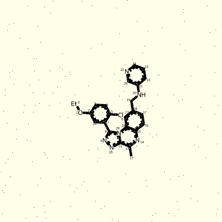 CCOc1ccc(Cl)c(-c2nnc3c(C)nc4ccc(CNc5cccnc5)cc4n23)c1